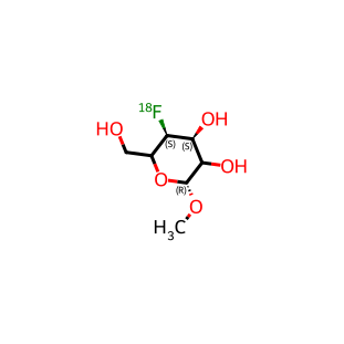 CO[C@@H]1OC(CO)[C@@H]([18F])[C@@H](O)C1O